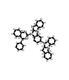 c1ccc(-c2nc(-n3c4ccc(-n5c6ccccc6n6c7ccccc7cc56)cc4n4c5ccccc5nc34)nc3ccccc23)cc1